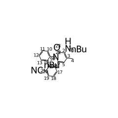 CCCCNc1c(C)cc(CCCC)n(-c2ccccc2-c2ccccc2C#N)c1=O